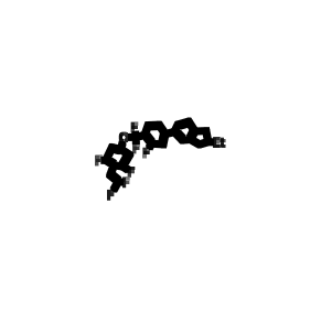 CCC1Cc2ccc(-c3ccc(C(F)(F)Oc4cc(F)c(C=C(F)F)c(F)c4)c(F)c3)cc2C1